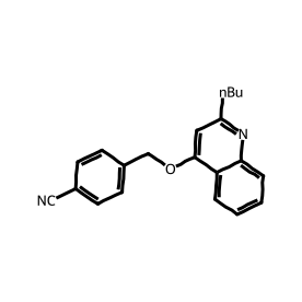 CCCCc1cc(OCc2ccc(C#N)cc2)c2ccccc2n1